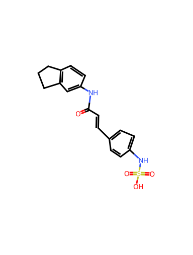 O=C(C=Cc1ccc(NS(=O)(=O)O)cc1)Nc1ccc2c(c1)CCC2